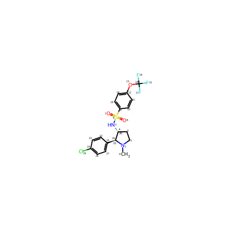 CN1CC[C@@H](NS(=O)(=O)c2ccc(OC(F)(F)F)cc2)[C@@H]1c1ccc(Cl)cc1